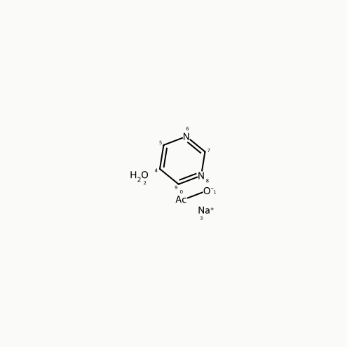 CC(=O)[O-].O.[Na+].c1cncnc1